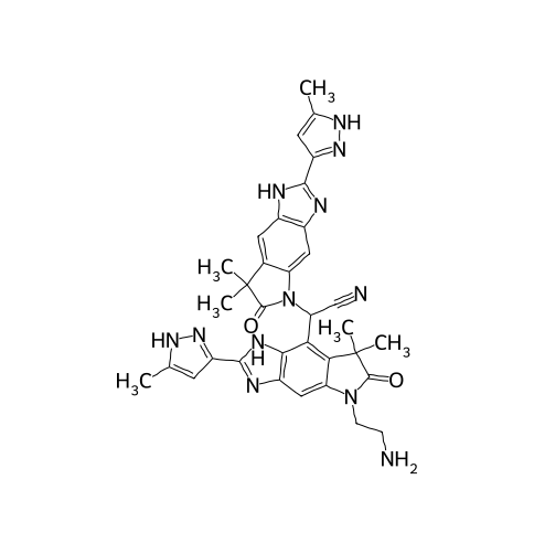 Cc1cc(-c2nc3cc4c(cc3[nH]2)C(C)(C)C(=O)N4C(C#N)c2c3c(cc4nc(-c5cc(C)[nH]n5)[nH]c24)N(CCN)C(=O)C3(C)C)n[nH]1